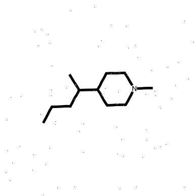 CCCC(C)C1CCN(C)CC1